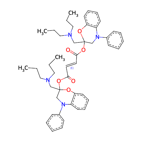 CCCN(CCC)CC1(OC(=O)/C=C/C(=O)OC2(CN(CCC)CCC)CN(c3ccccc3)c3ccccc3O2)CN(c2ccccc2)c2ccccc2O1